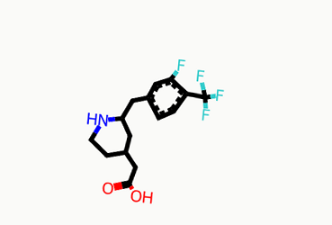 O=C(O)CC1CCNC(Cc2ccc(C(F)(F)F)c(F)c2)C1